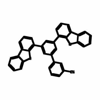 N#Cc1cccc(-c2cc(-c3cccc4c3oc3ccccc34)cc(-c3cccc4c3sc3ccccc34)c2)c1